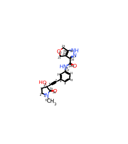 CN1CC[C@@](O)(C#Cc2cccc(NC(=O)c3n[nH]c4c3COC4)c2)C1=O